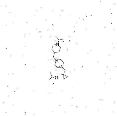 CC(C)OCC1(CN2CCN(CC3CCN(C(C)C)CC3)CC2)CC1